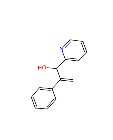 C=C(c1ccccc1)C(O)c1ccccn1